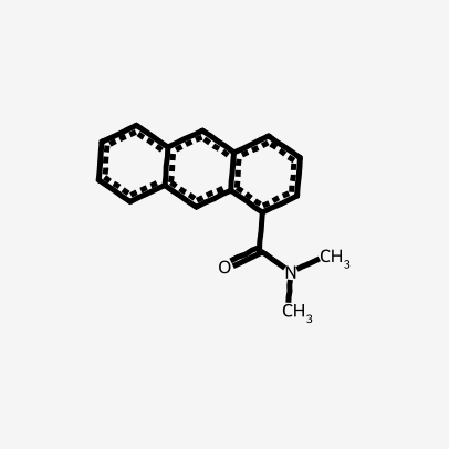 CN(C)C(=O)c1cccc2cc3ccccc3cc12